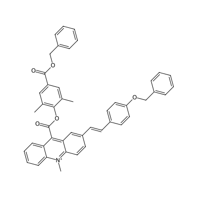 Cc1cc(C(=O)OCc2ccccc2)cc(C)c1OC(=O)c1c2ccccc2[n+](C)c2ccc(C=Cc3ccc(OCc4ccccc4)cc3)cc12